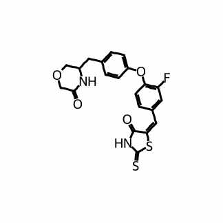 O=C1COCC(Cc2ccc(Oc3ccc(C=C4SC(=S)NC4=O)cc3F)cc2)N1